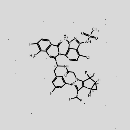 Cc1c(F)ccc2c(=O)n(-c3ccc(Cl)c4c(NS(C)(=O)=O)nn(C)c34)c([C@H](Cc3cc(F)cc(F)c3)NC(=O)Cn3nc(C(F)F)c4c3C(F)(F)[C@@H]3C[C@H]43)nc12